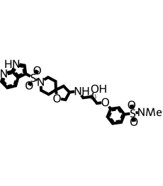 CNS(=O)(=O)c1cccc(OC[C@@H](O)CNC2COC3(CCN(S(=O)(=O)c4c[nH]c5ncccc45)CC3)C2)c1